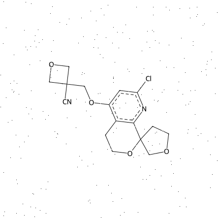 N#CC1(COc2cc(Cl)nc3c2CCOC32CCOC2)COC1